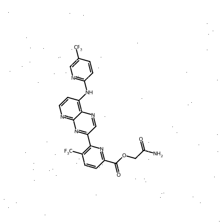 NC(=O)COC(=O)c1ccc(C(F)(F)F)c(-c2cnc3c(Nc4ccc(C(F)(F)F)cn4)ccnc3n2)n1